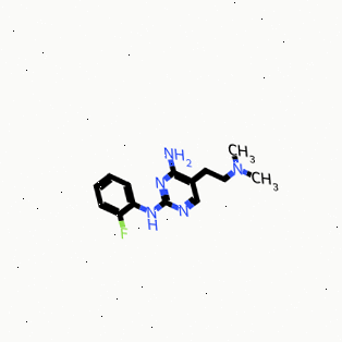 CN(C)CCc1cnc(Nc2ccccc2F)nc1N